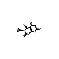 CCc1cc(=O)oc2[nH]c(=O)n(C3CC3)c(=O)c12